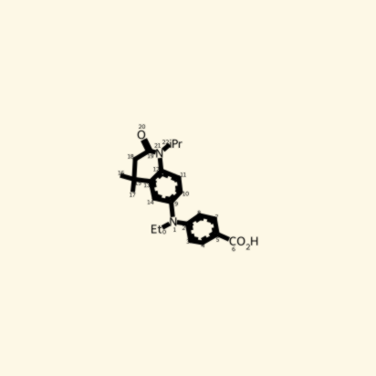 CCN(c1ccc(C(=O)O)cc1)c1ccc2c(c1)C(C)(C)CC(=O)N2C(C)C